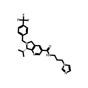 CC(C)[C@H]1c2ncc(C(=O)NCCCn3ccnc3)cc2CN1Cc1ccc(C(F)(F)F)cc1